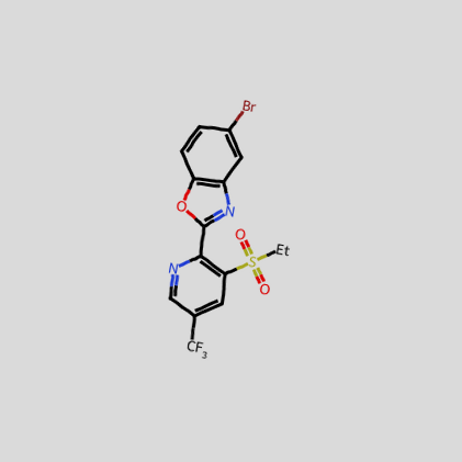 CCS(=O)(=O)c1cc(C(F)(F)F)cnc1-c1nc2cc(Br)ccc2o1